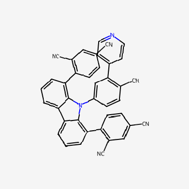 N#Cc1ccc(-c2cccc3c4cccc(-c5ccc(C#N)cc5C#N)c4n(-c4ccc(C#N)c(-c5ccncc5)c4)c23)c(C#N)c1